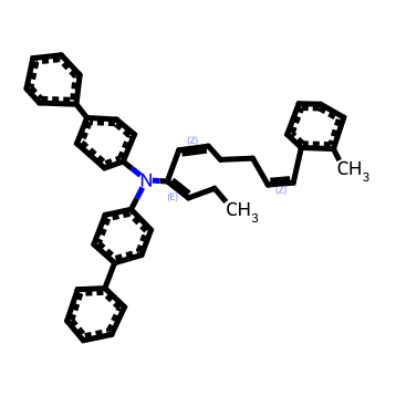 CC/C=C(\C=C/CC/C=C\c1ccccc1C)N(c1ccc(-c2ccccc2)cc1)c1ccc(-c2ccccc2)cc1